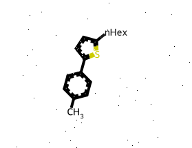 CCCCCCc1ccc(-c2ccc(C)cc2)s1